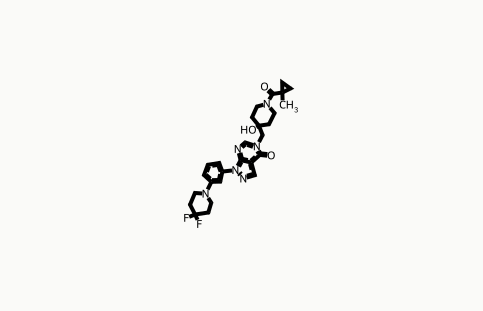 CC1(C(=O)N2CCC(O)(Cn3cnc4c(cnn4-c4cccc(N5CCC(F)(F)CC5)c4)c3=O)CC2)CC1